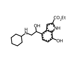 CCOC(=O)c1cc2c(C(O)CNC3CCCCC3)ccc(O)c2[nH]1